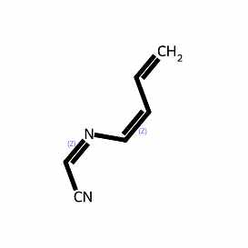 C=C/C=C\N=C/C#N